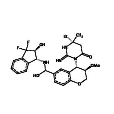 CC[C@]1(C)CC(=O)N([C@H]2c3cc(C(O)N[C@@H]4c5ccccc5C(F)(F)[C@H]4O)ccc3OC[C@@H]2OC)C(=N)N1